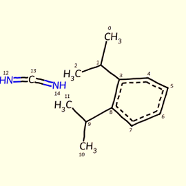 CC(C)c1ccccc1C(C)C.N=C=N